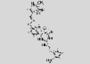 Cc1cocc1CCNC(=N)NC(=N)N(C)Cn1ccc(CCNC(=N)NC(=N)N(C)C)c1C